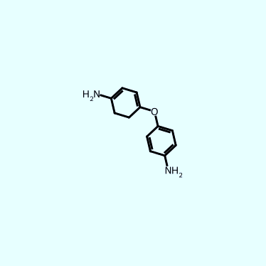 NC1=CC=C(Oc2ccc(N)cc2)CC1